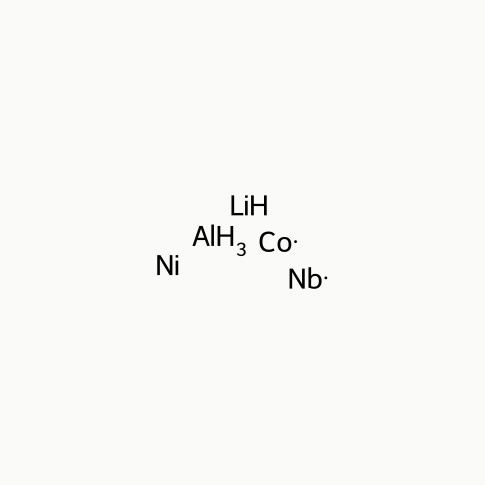 [AlH3].[Co].[LiH].[Nb].[Ni]